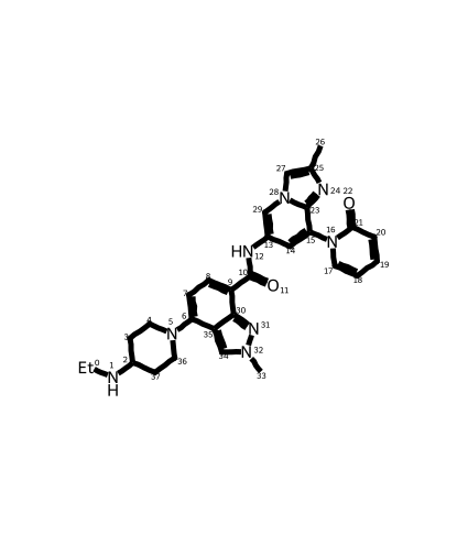 CCNC1CCN(c2ccc(C(=O)Nc3cc(-n4ccccc4=O)c4nc(C)cn4c3)c3nn(C)cc23)CC1